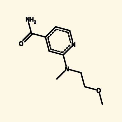 COCCN(C)c1cc(C(N)=O)ccn1